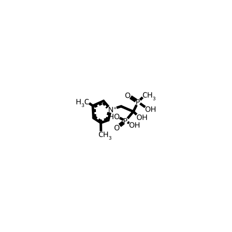 Cc1cc(C)c[n+](CC(O)(P(C)(=O)O)P(=O)(O)O)c1